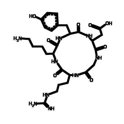 N=C(N)NCCCC1NC(=O)CNC(=O)C(CC(=O)O)NC(=O)C(Cc2ccc(O)cc2)NC(=O)C(CCCCN)NC1=O